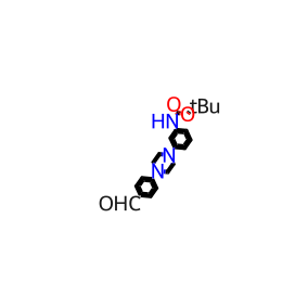 CC(C)(C)OC(=O)Nc1cccc(N2CCN(c3ccc(C=O)cc3)CC2)c1